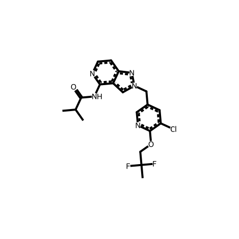 CC(C)C(=O)Nc1nccc2nn(Cc3cnc(OCC(C)(F)F)c(Cl)c3)cc12